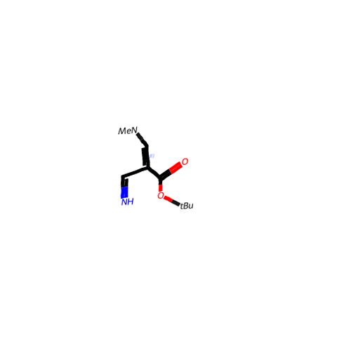 CN/C=C(\C=N)C(=O)OC(C)(C)C